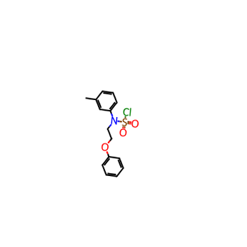 Cc1cccc(N(CCOc2ccccc2)S(=O)(=O)Cl)c1